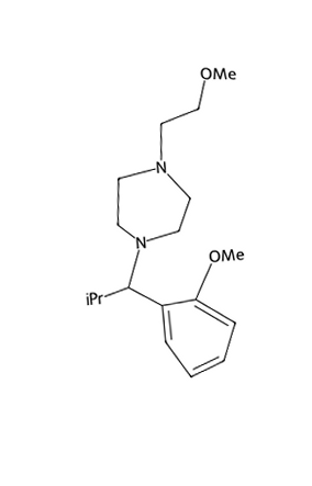 COCCN1CCN(C(c2ccccc2OC)C(C)C)CC1